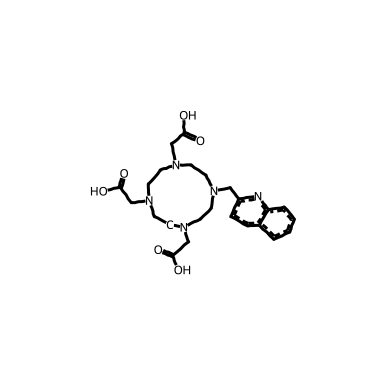 O=C(O)CN1CCN(CC(=O)O)CCN(Cc2ccc3ccccc3n2)CCN(CC(=O)O)CC1